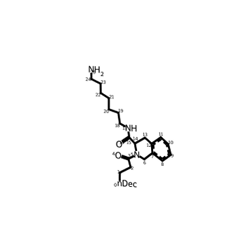 CCCCCCCCCCCCC(=O)N1Cc2ccccc2CC1C(=O)NCCCCCCCN